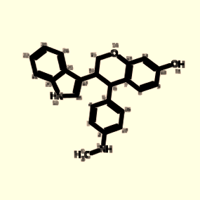 CNc1ccc(C2c3ccc(O)cc3OCC2c2c[nH]c3ccccc23)cc1